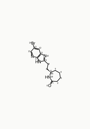 O=C1CCCC[C@H](CCc2nc3cc(Br)cnc3[nH]2)N1